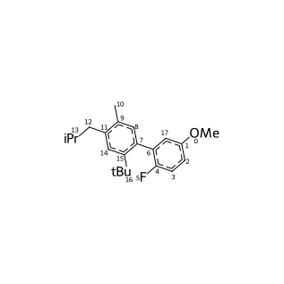 COc1ccc(F)c(-c2cc(C)c(CC(C)C)cc2C(C)(C)C)c1